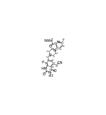 CCn1c(=O)[nH]c2c(F)c(CN3CCN(c4ccc(C)nc4C(=O)NC)CC3)cc(CC#N)c2c1=O